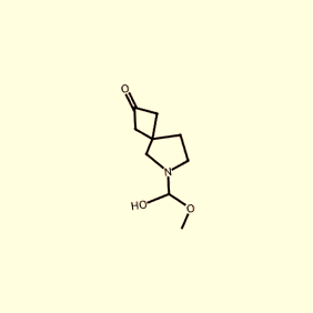 COC(O)N1CCC2(CC(=O)C2)C1